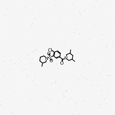 CC1CC(C)CN(C(=O)c2ccc(Cl)c(S(=O)(=O)N3CCCC(C)C3)c2)C1